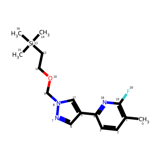 Cc1ccc(-c2cnn(COCC[Si](C)(C)C)c2)nc1F